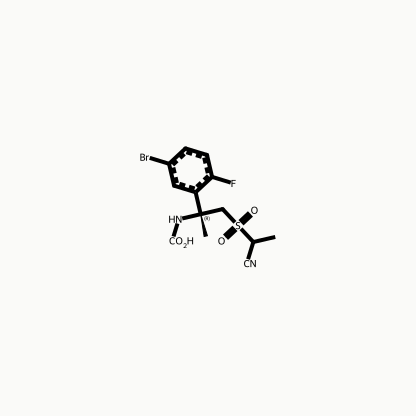 CC(C#N)S(=O)(=O)C[C@](C)(NC(=O)O)c1cc(Br)ccc1F